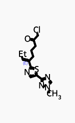 CC/C=C(\CCCC(=O)CCl)c1ncc(-c2ncn(C)n2)s1